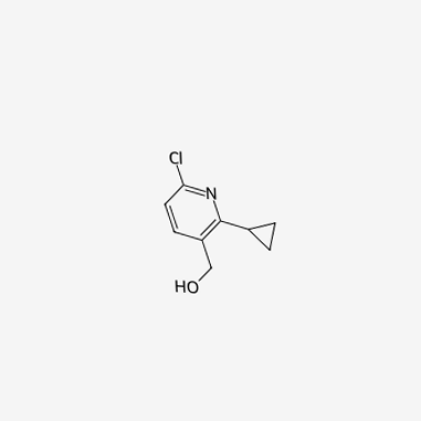 OCc1ccc(Cl)nc1C1CC1